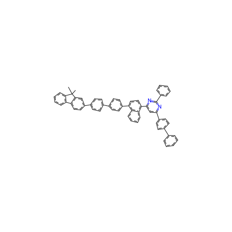 CC1(C)c2ccccc2-c2ccc(-c3ccc(-c4ccc(-c5ccc(-c6cc(-c7ccc(-c8ccccc8)cc7)nc(-c7ccccc7)n6)c6ccccc56)cc4)cc3)cc21